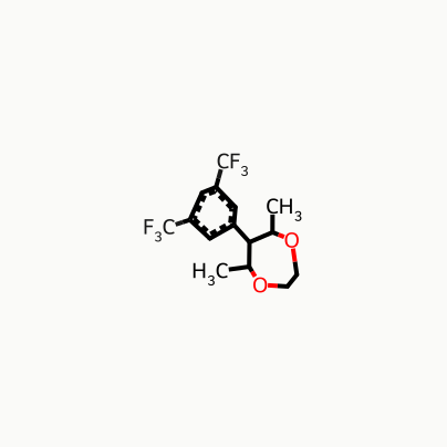 CC1OCCOC(C)C1c1cc(C(F)(F)F)cc(C(F)(F)F)c1